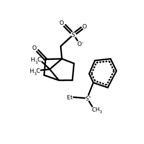 CC1(C)C2CCC1(CS(=O)(=O)[O-])C(=O)C2.CC[S+](C)c1ccccc1